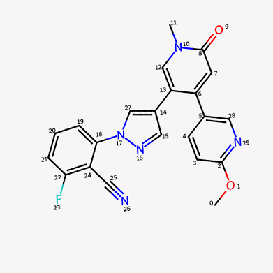 COc1ccc(-c2cc(=O)n(C)cc2-c2cnn(-c3cccc(F)c3C#N)c2)cn1